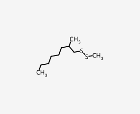 CCCCCCC(C)CSSC